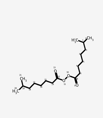 CC(C)CCCCCC(=O)OOC(=O)CCCCCC(C)C